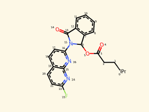 CC(C)CCC(=O)OC1c2ccccc2C(=O)N1c1ccc2ccc(F)nc2n1